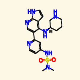 CN(C)S(=O)(=O)Nc1ccnc(-c2cnc3[nH]ccc3c2N[C@@H]2CCCNC2)c1